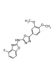 COc1ccc(-c2nnc(Nc3nc4c(F)cccc4o3)o2)cc1OC